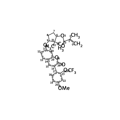 C=C(C)C(=O)OC1CCC(Oc2ccc3cc(-c4ccc(OC)cc4OC(F)(F)F)c(=O)oc3c2)C1(C)C